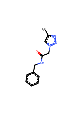 Cc1cn(CC(=O)NCc2ccccc2)nn1